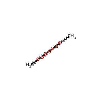 CCCCCCCCOCCOCCOCCOCCOCCOCCOCCCCC